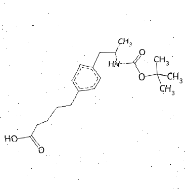 CC(Cc1ccc(CCCCC(=O)O)cc1)NC(=O)OC(C)(C)C